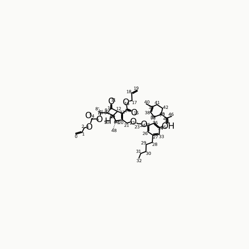 C=CCOC(=O)O[C@H](C)[C@H]1C(=O)C2C(C(=O)OCC=C)=C(COCOc3cc(CCCCC)cc(O)c3[C@@H]3C=C(C)CC[C@H]3C(=C)C)[C@H](C)[C@@H]21